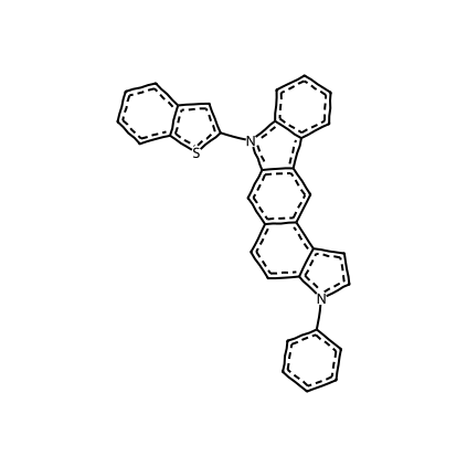 c1ccc(-n2ccc3c4cc5c6ccccc6n(-c6cc7ccccc7s6)c5cc4ccc32)cc1